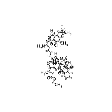 CCOC(=O)CN(C)C(=O)[C@H](CN(C)S(=O)(=O)c1ccccc1[N+](=O)[O-])NC(=O)[C@H](CCCNC(N)=NS(=O)(=O)c1c(C)c(C)c2c(c1C)CC(C)(C)O2)NC(=O)OC(C)(C)C